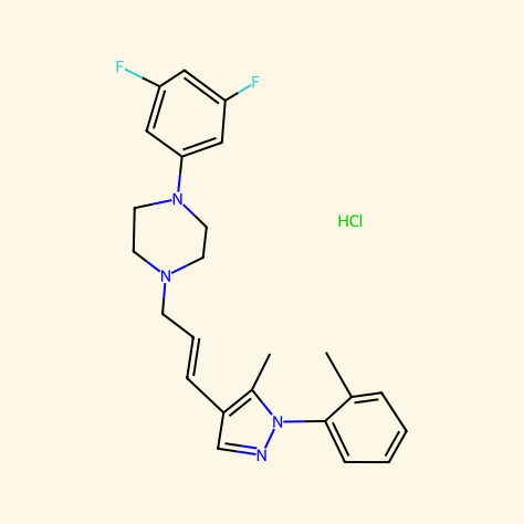 Cc1ccccc1-n1ncc(C=CCN2CCN(c3cc(F)cc(F)c3)CC2)c1C.Cl